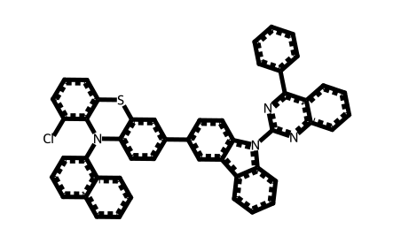 Clc1cccc2c1N(c1cccc3ccccc13)c1ccc(-c3ccc4c(c3)c3ccccc3n4-c3nc(-c4ccccc4)c4ccccc4n3)cc1S2